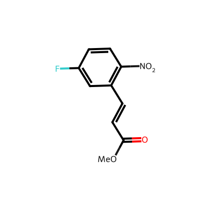 COC(=O)C=Cc1cc(F)ccc1[N+](=O)[O-]